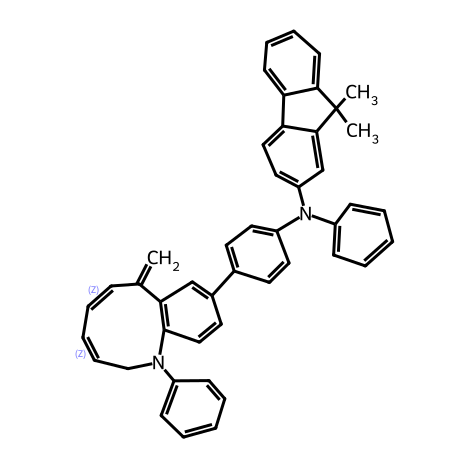 C=C1/C=C\C=C/CN(c2ccccc2)c2ccc(-c3ccc(N(c4ccccc4)c4ccc5c(c4)C(C)(C)c4ccccc4-5)cc3)cc21